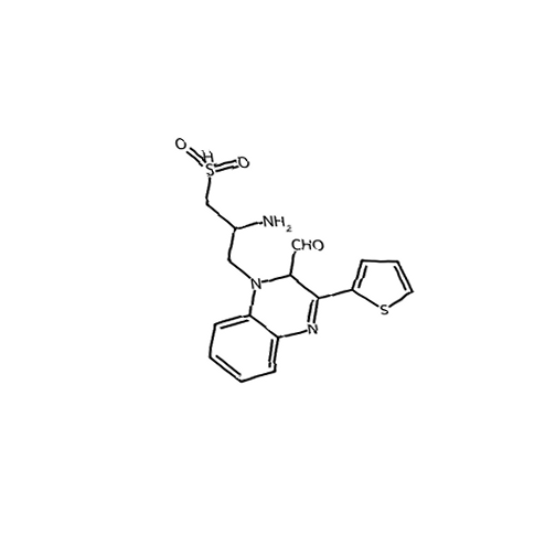 NC(CN1c2ccccc2N=C(c2cccs2)C1C=O)C[SH](=O)=O